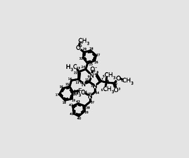 COC(=O)C(C)(C)C1=C[N+]2([O-])C(=NC(Cc3ccccc3F)=C(C)C2c2cccc(OC)c2)N1CN(C)Cc1ccccc1